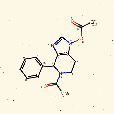 COC(=O)N1CCc2c(ncn2OC(=O)C(F)(F)F)C1c1ccccc1